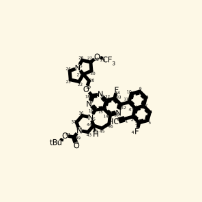 C#Cc1c(F)ccc2cccc(-c3nc4c5c(nc(OCC67CCCN6CC(OC(F)(F)F)C7)nc5c3F)N3CCN(C(=O)OC(C)(C)C)C[C@H]3CC4)c12